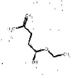 C=C(C)CC[C@H](O)OCC